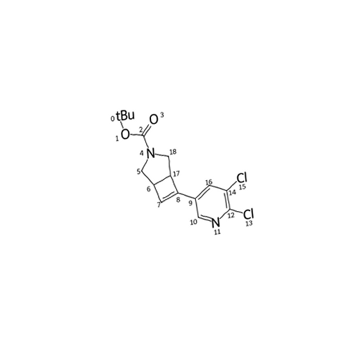 CC(C)(C)OC(=O)N1CC2C=C(c3cnc(Cl)c(Cl)c3)C2C1